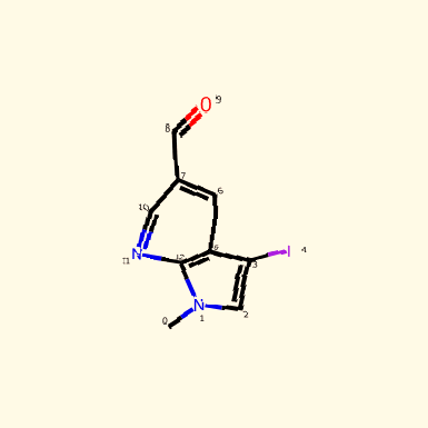 Cn1cc(I)c2cc(C=O)cnc21